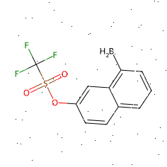 Bc1cccc2ccc(OS(=O)(=O)C(F)(F)F)cc12